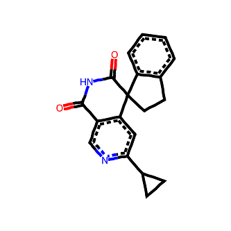 O=C1NC(=O)C2(CCc3ccccc32)c2cc(C3CC3)ncc21